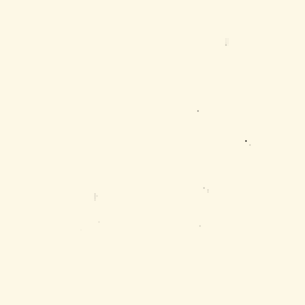 Cc1ccc(C(=O)NC2CC2)cc1-c1cn(-c2cncc(N(C3CCNCC3)C3COC3)c2)cn1